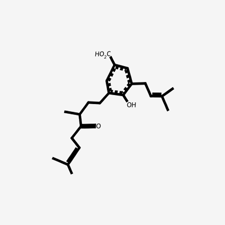 CC(C)=CCC(=O)C(C)CCc1cc(C(=O)O)cc(CC=C(C)C)c1O